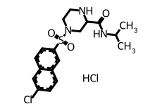 CC(C)NC(=O)C1CN(S(=O)(=O)c2ccc3cc(Cl)ccc3c2)CCN1.Cl